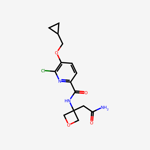 NC(=O)CC1(NC(=O)c2ccc(OCC3CC3)c(Cl)n2)COC1